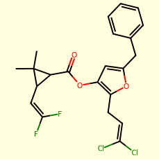 CC1(C)C(C=C(F)F)C1C(=O)Oc1cc(Cc2ccccc2)oc1CC=C(Cl)Cl